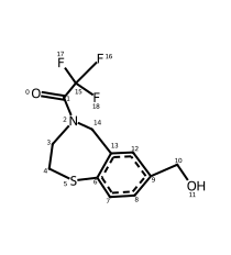 O=C(N1CCSc2ccc(CO)cc2C1)C(F)(F)F